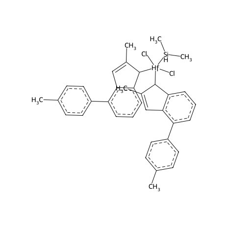 CC1=Cc2c(-c3ccc(C)cc3)cccc2[CH]1[Hf]([Cl])([Cl])([CH]1C(C)=Cc2c(-c3ccc(C)cc3)cccc21)[SiH](C)C